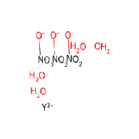 O.O.O.O.O=[N+]([O-])[O-].O=[N+]([O-])[O-].O=[N+]([O-])[O-].[Y+3]